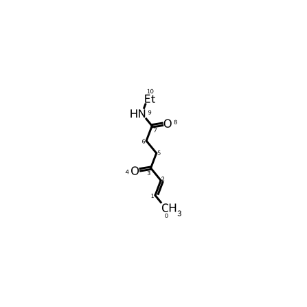 C/C=C/C(=O)CCC(=O)NCC